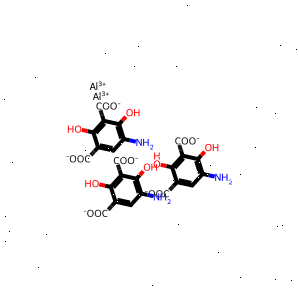 Nc1cc(C(=O)[O-])c(O)c(C(=O)[O-])c1O.Nc1cc(C(=O)[O-])c(O)c(C(=O)[O-])c1O.Nc1cc(C(=O)[O-])c(O)c(C(=O)[O-])c1O.[Al+3].[Al+3]